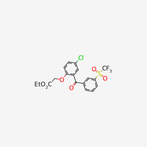 CCOC(=O)COc1ccc(Cl)cc1C(=O)c1cccc(S(=O)(=O)C(F)(F)F)c1